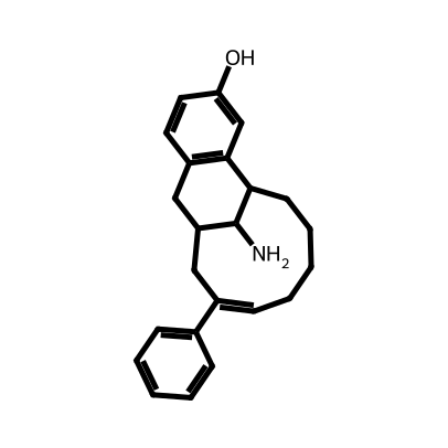 NC1C2C/C(c3ccccc3)=C\CCCCC1c1cc(O)ccc1C2